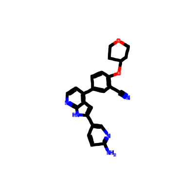 N#Cc1cc(-c2ccnc3[nH]c(-c4ccc(N)nc4)cc23)ccc1OC1CCOCC1